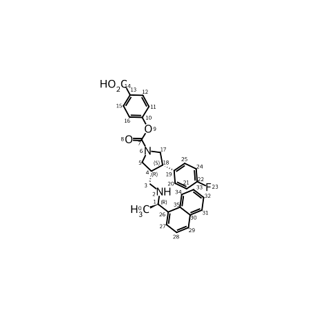 C[C@@H](NC[C@@H]1CN(C(=O)Oc2ccc(C(=O)O)cc2)C[C@@H]1c1ccc(F)cc1)c1cccc2ccccc12